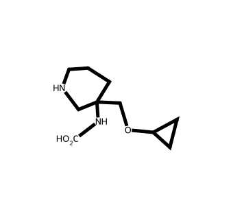 O=C(O)NC1(COC2CC2)CCCNC1